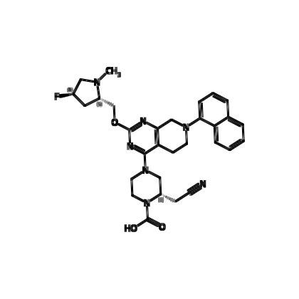 CN1C[C@H](F)C[C@H]1COc1nc2c(c(N3CCN(C(=O)O)[C@@H](CC#N)C3)n1)CCN(c1cccc3ccccc13)C2